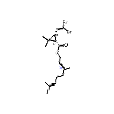 CC(C)=CCC/C(C)=C/COC(=O)[C@H]1[C@@H](C=C(Br)Br)C1(C)C